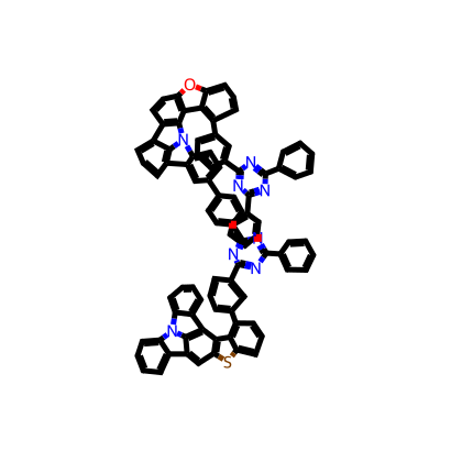 c1ccc(-c2nc(-c3ccc(-c4ccc5c(c4)c4cccc6c7ccc8oc9cccc(-c%10cccc(-c%11nc(-c%12ccccc%12)nc(-c%12ccccc%12)n%11)c%10)c9c8c7n5c46)cc3)nc(-c3cccc(-c4cccc5sc6cc7c8ccccc8n8c9ccccc9c(c6c45)c78)c3)n2)cc1